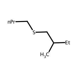 CCCCSCC(C)CC